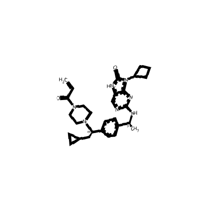 C=CC(=O)N1CCN([C@H](CC2CC2)c2ccc([C@H](C)Nc3ncc4[nH]c(=O)n(C5CCC5)c4n3)cc2)CC1